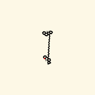 c1ccc2c(c1)ccc1c(CCCCCCCCCCCCCCCCCc3c4ccccc4nc4c3ccc3ccccc34)c3ccccc3nc12